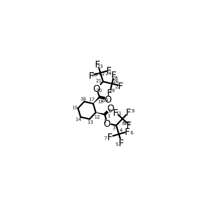 O=C(OC(C(F)(F)F)C(F)(F)F)[C@H]1CCCC[C@H]1C(=O)OC(C(F)(F)F)C(F)(F)F